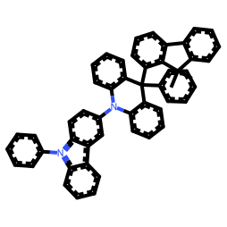 CC1(C)c2ccccc2-c2cccc(C3(c4ccccc4)c4ccccc4N(c4ccc5c(c4)c4ccccc4n5-c4ccccc4)c4ccccc43)c21